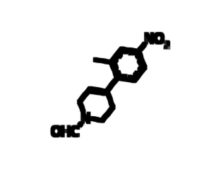 Cc1cc([N+](=O)[O-])ccc1C1=CCN(C=O)CC1